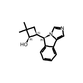 CC1(C)C[C@@H]([C@@H]2c3ccccc3-c3cncn32)[C@H]1O